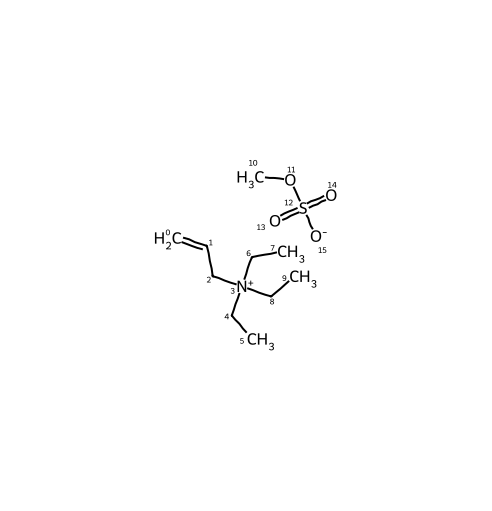 C=CC[N+](CC)(CC)CC.COS(=O)(=O)[O-]